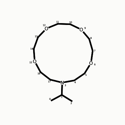 CC(C)N1CCOCCOCCOCCOCC1